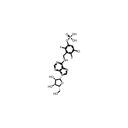 O=P(O)(O)Oc1cc(Cl)c(F)c(CNc2ncnc3c2ncn3[C@@H]2O[C@H](CO)[C@@H](O)[C@H]2O)c1F